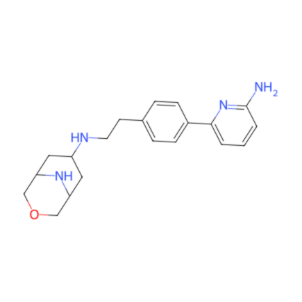 Nc1cccc(-c2ccc(CCNC3CC4COCC(C3)N4)cc2)n1